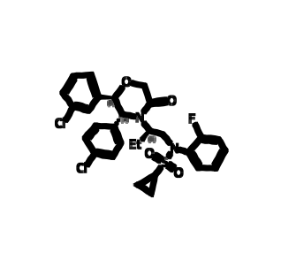 CC[C@H](CN(c1ccccc1F)S(=O)(=O)C1CC1)N1C(=O)CO[C@H](c2cccc(Cl)c2)[C@H]1c1ccc(Cl)cc1